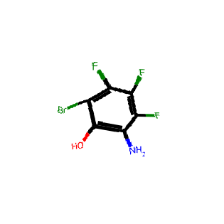 Nc1c(O)c(Br)c(F)c(F)c1F